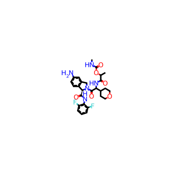 CNC(=O)OC(C)C(=O)NC(C(=O)N1Cc2cc(N)ccc2[C@@H]1C(=O)Nc1c(F)cccc1F)C1CCOCC1